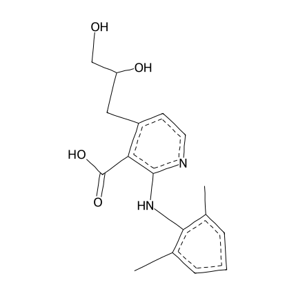 Cc1cccc(C)c1Nc1nccc(CC(O)CO)c1C(=O)O